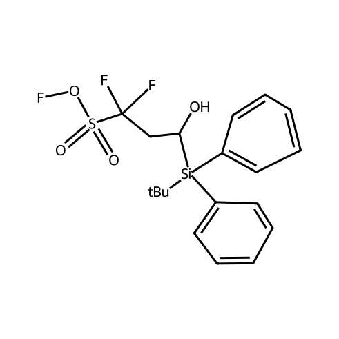 CC(C)(C)[Si](c1ccccc1)(c1ccccc1)C(O)CC(F)(F)S(=O)(=O)OF